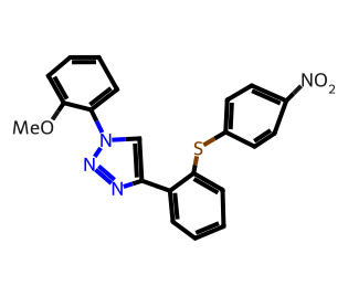 COc1ccccc1-n1cc(-c2ccccc2Sc2ccc([N+](=O)[O-])cc2)nn1